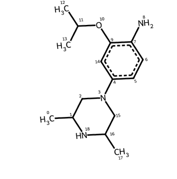 CC1CN(c2ccc(N)c(OC(C)C)c2)CC(C)N1